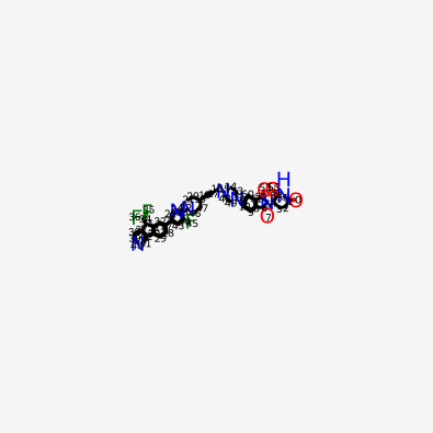 O=C1CCC(N2C(=O)c3ccc(N4CCN(CC#CC5CCN(c6ncc(-c7ccc8c(c7)C(C(F)F)c7ccncc7-8)cc6F)CC5)CC4)cc3C2=O)C(=O)N1